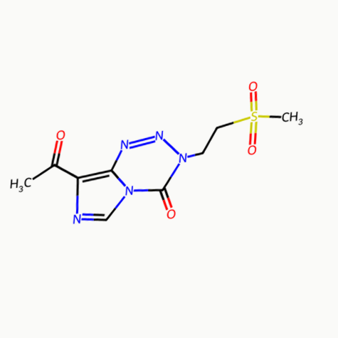 CC(=O)c1ncn2c(=O)n(CCS(C)(=O)=O)nnc12